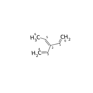 C=CC(C=C)=CC